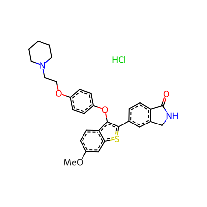 COc1ccc2c(Oc3ccc(OCCN4CCCCC4)cc3)c(-c3ccc4c(c3)CNC4=O)sc2c1.Cl